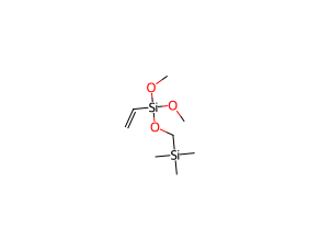 C=C[Si](OC)(OC)OC[Si](C)(C)C